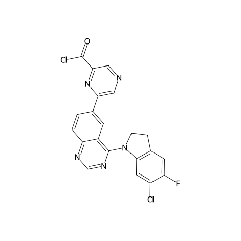 O=C(Cl)c1cncc(-c2ccc3ncnc(N4CCc5cc(F)c(Cl)cc54)c3c2)n1